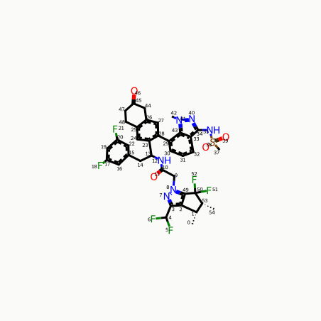 C[C@@H]1c2c(C(F)F)nn(CC(=O)NC(Cc3cc(F)cc(F)c3)c3cc4c(cc3-c3cccc5c(NS(C)(=O)=O)nn(C)c35)CC(=O)CC4)c2C(F)(F)[C@@H]1C